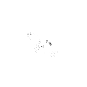 COCC[C@H]1[C@@H](O)[C@H](n2c[n+](C)c3c(=O)[nH]c(N)nc32)O[C@@H]1COP(=O)(O)OP(=O)(O)OP(=O)(O)OCC1O[C@@H](n2cnc3c(N)ncnc32)[C@H](OC)[C@@H]1OP(=O)([O-])OC[C@H]1O[C@@H](n2cnc3c(=O)[nH]c(N)nc32)[C@H](OC)[C@@H]1O